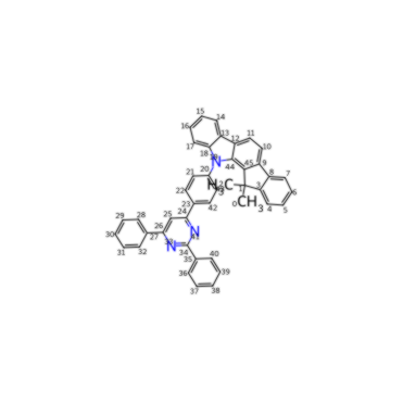 CC1(C)c2ccccc2-c2ccc3c4ccccc4n(-c4ccc(-c5cc(-c6ccccc6)nc(-c6ccccc6)n5)cc4)c3c21